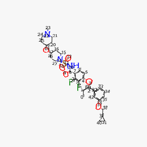 CC[C@@H](Oc1ccc(C(=O)NS(=O)(=O)N2CCC(OC3CCN(C)CC3)CC2)c(F)c1F)c1cccc(OCC2CC2)c1